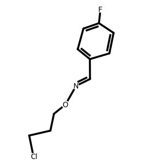 Fc1ccc(C=NOCCCCl)cc1